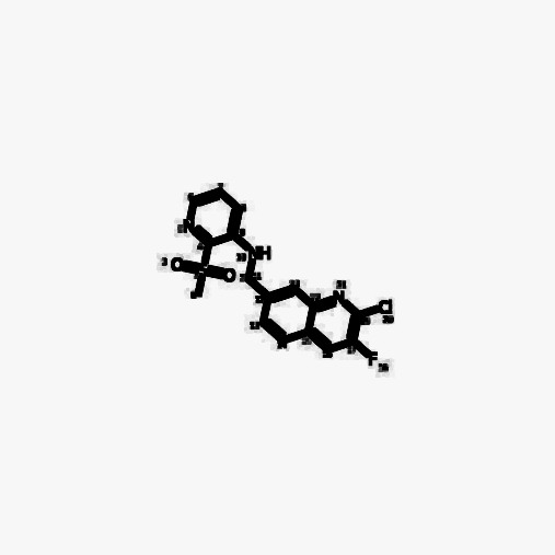 CS(=O)(=O)c1ncccc1NCc1ccc2cc(F)c(Cl)nc2c1